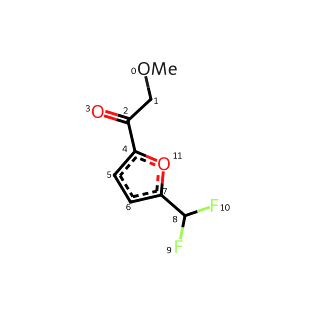 COCC(=O)c1ccc(C(F)F)o1